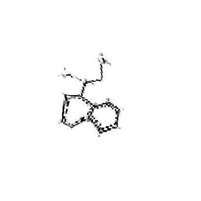 C[CH][C@@H](C)c1cccc2ccccc12